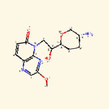 COc1cnc2ccc(=O)n(C[C@H](O)[C@@H]3CC[C@@H](N)CO3)c2n1